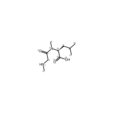 CNCC(=O)N(C)[C@@H](CC(C)C)C(=O)O